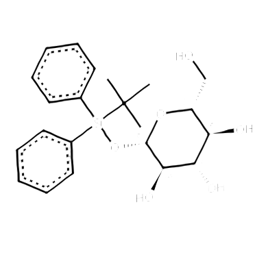 CC(C)(C)[Si](O[C@@H]1O[C@H](CO)[C@@H](O)[C@H](O)[C@H]1O)(c1ccccc1)c1ccccc1